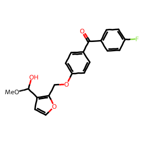 COC(O)c1ccoc1COc1ccc(C(=O)c2ccc(F)cc2)cc1